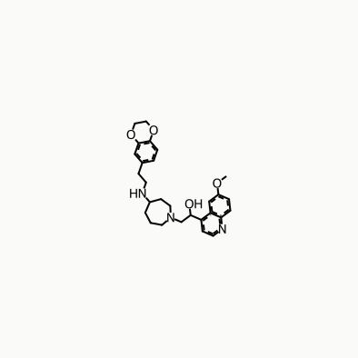 COc1ccc2nccc(C(O)CN3CCCC(NCCc4ccc5c(c4)OCCO5)CC3)c2c1